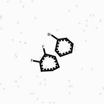 Brc1ccccc1.Fc1ccccc1F